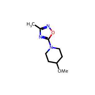 COC1CCN(c2nc(C)no2)CC1